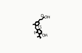 Cc1cc(CCC(=O)O)cc(Cl)c1Cc1ccc(O)c(C(C)C)c1F